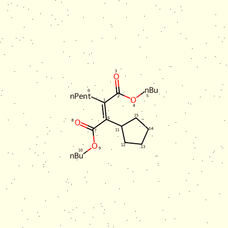 CCCCCC(C(=O)OCCCC)=C(C(=O)OCCCC)C1CCCC1